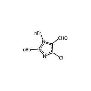 CCCCc1nc(Cl)c(C=O)n1CCC